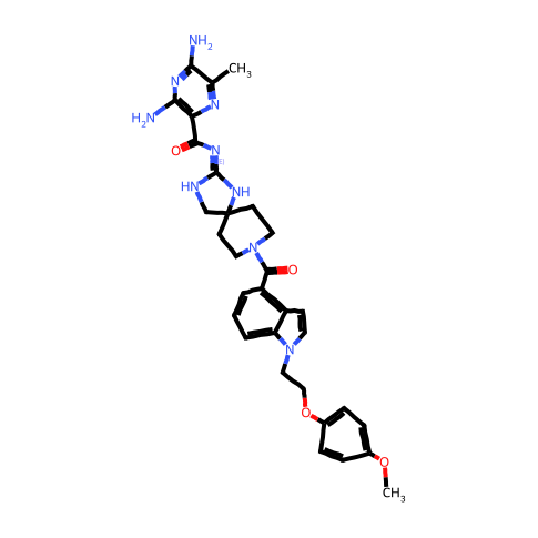 COc1ccc(OCCn2ccc3c(C(=O)N4CCC5(CC4)CN/C(=N\C(=O)c4nc(C)c(N)nc4N)N5)cccc32)cc1